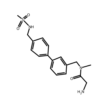 CN(Cc1cccc(-c2ccc(CNS(C)(=O)=O)cc2)c1)C(=O)CN